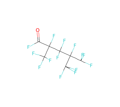 O=C(F)C(F)(C(F)(F)F)C(F)(F)C(F)(C(F)(F)F)C(F)(F)F